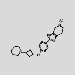 CC(=O)N1CCc2sc(-c3ccc(O[C@H]4C[C@H](N5CCCCC5)C4)cc3)nc2C1